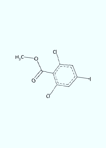 COC(=O)c1c(Cl)cc(I)cc1Cl